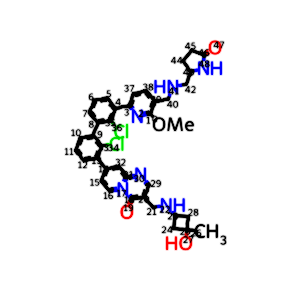 COc1nc(-c2cccc(-c3cccc(-c4ccn5c(=O)c(CNC6CC(C)(O)C6)cnc5c4)c3Cl)c2Cl)ccc1CNCC1CCC(=O)N1